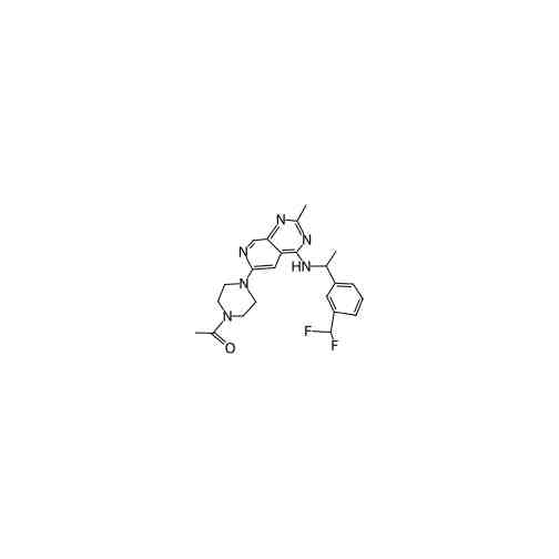 CC(=O)N1CCN(c2cc3c(NC(C)c4cccc(C(F)F)c4)nc(C)nc3cn2)CC1